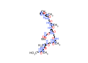 Cn1cc(NC(=O)c2nccn2C)cc1C(=O)NCCC(=O)Nc1cn(C)c(C(=O)Nc2cc(C(=O)NCCCC(=O)Nc3cn(C)c(C(=O)NCCC(=O)Nc4cc(C(=O)Nc5cn(C)c(C(=O)NCCC(=O)O)n5)n(C)c4)n3)n(CCOCCNC(=O)OC(C)(C)C)c2)n1